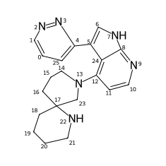 c1cnnc(-c2c[nH]c3nccc(N4CCCC5(CCCCN5)C4)c23)c1